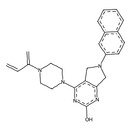 C=CC(=C)N1CCN(c2nc(O)nc3c2CN(c2ccc4ccccc4c2)C3)CC1